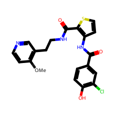 COc1ccncc1CCNC(=O)c1sccc1NC(=O)c1ccc(O)c(Cl)c1